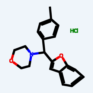 Cc1ccc(C(c2cc3ccccc3o2)N2CCOCC2)cc1.Cl